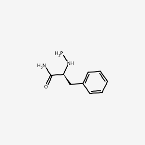 NC(=O)[C@H](Cc1ccccc1)NP